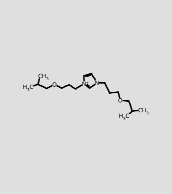 CC(C)COCCCn1cc[n+](CCCOCC(C)C)c1